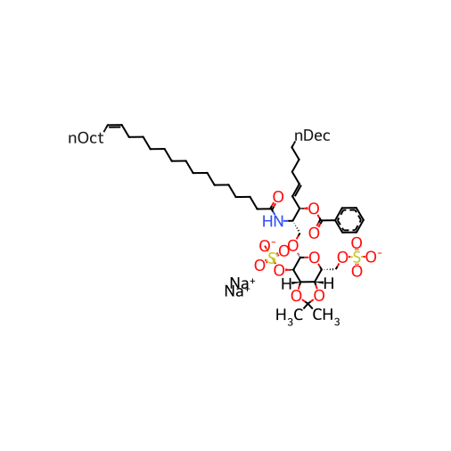 CCCCCCCC/C=C\CCCCCCCCCCCCCC(=O)N[C@@H](CO[C@@H]1O[C@H](COS(=O)(=O)[O-])[C@@H]2OC(C)(C)O[C@@H]2[C@H]1OS(=O)(=O)[O-])[C@@H](/C=C/CCCCCCCCCCCCC)OC(=O)c1ccccc1.[Na+].[Na+]